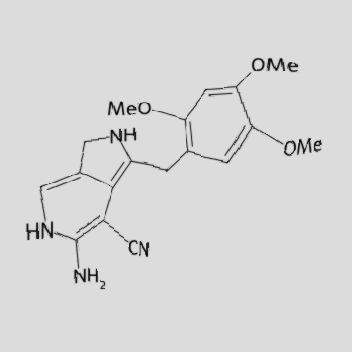 COc1cc(OC)c(OC)cc1CC1=C2C(=CNC(N)=C2C#N)CN1